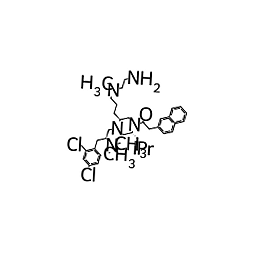 CC(C)C[C@@H]1CN(C[C@H](Cc2ccc(Cl)cc2Cl)N(C)C)[C@@H](CCCN(C)CCN)CN1C(=O)Cc1ccc2ccccc2c1